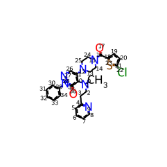 CN(CCc1ccccn1)c1c(N2CCN(C(=O)c3ccc(Cl)s3)CC2)cnn(-c2ccccc2)c1=O